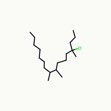 CCCCCCCC(C)C(C)CCCC(C)(Cl)CCC